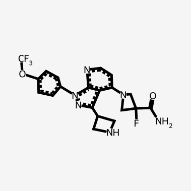 NC(=O)C1(F)CN(c2ccnc3c2c(C2CNC2)nn3-c2ccc(OC(F)(F)F)cc2)C1